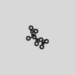 c1ccc(-c2cc(-n3c4ccccc4c4c3ccc3c5ccccc5n(-c5ccccc5)c34)cc(-c3cccc4c3oc3ccccc34)n2)cc1